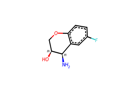 N[C@@H]1c2cc(F)ccc2OC[C@@H]1O